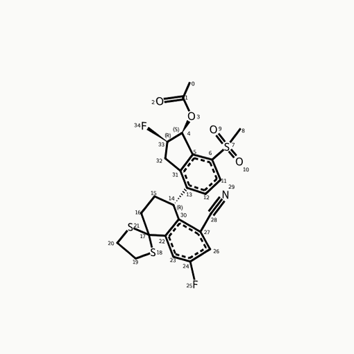 CC(=O)O[C@H]1c2c(S(C)(=O)=O)ccc([C@H]3CCC4(SCCS4)c4cc(F)cc(C#N)c43)c2C[C@H]1F